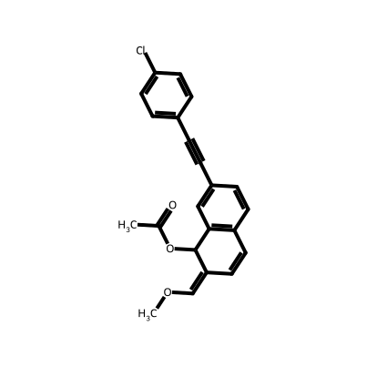 COC=C1C=Cc2ccc(C#Cc3ccc(Cl)cc3)cc2C1OC(C)=O